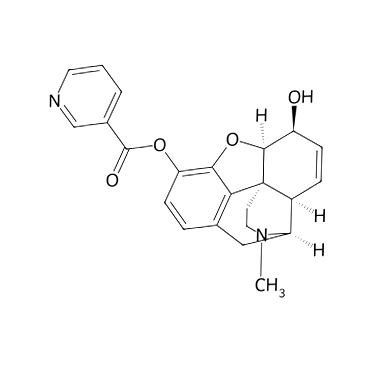 CN1CC[C@]23c4c5ccc(OC(=O)c6cccnc6)c4O[C@H]2[C@@H](O)C=C[C@H]3[C@H]1C5